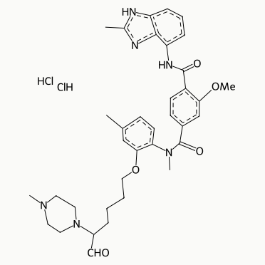 COc1cc(C(=O)N(C)c2ccc(C)cc2OCCCCC(C=O)N2CCN(C)CC2)ccc1C(=O)Nc1cccc2[nH]c(C)nc12.Cl.Cl